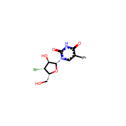 CC(C)c1cn([C@@H]2O[C@H](CO)[C@H](Br)[C@H]2O)c(=O)[nH]c1=O